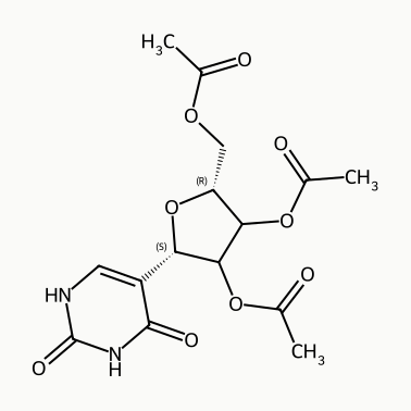 CC(=O)OC[C@H]1O[C@@H](c2c[nH]c(=O)[nH]c2=O)C(OC(C)=O)C1OC(C)=O